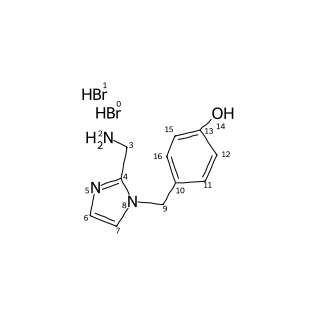 Br.Br.NCc1nccn1Cc1ccc(O)cc1